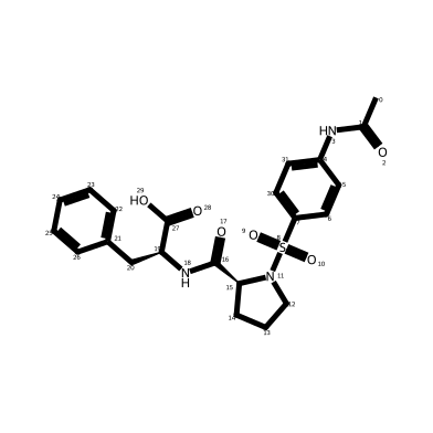 CC(=O)Nc1ccc(S(=O)(=O)N2CCC[C@H]2C(=O)N[C@@H](Cc2ccccc2)C(=O)O)cc1